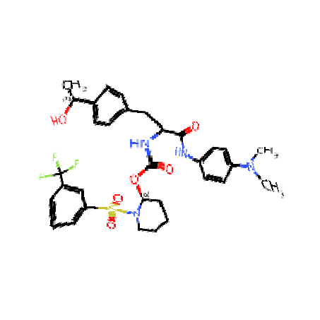 C[C@H](O)c1ccc(CC(NC(=O)O[C@H]2CCCCN2S(=O)(=O)c2cccc(C(F)(F)F)c2)C(=O)Nc2ccc(N(C)C)cc2)cc1